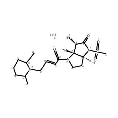 CC(C)[C@H]1C(=O)N(S(C)(=O)=O)[C@H]2CCN(C(=O)/C=C/CN3C(C)CCCC3C)[C@H]12.Cl